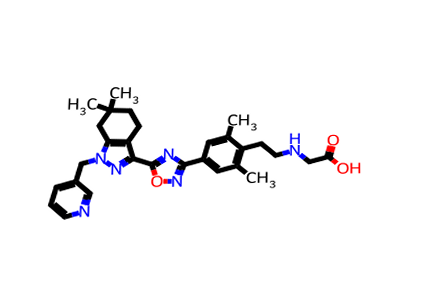 Cc1cc(-c2noc(-c3nn(Cc4cccnc4)c4c3CCC(C)(C)C4)n2)cc(C)c1CCNCC(=O)O